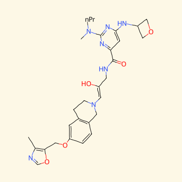 CCCN(C)c1nc(NC2COC2)cc(C(=O)NC/C(O)=C/N2CCc3cc(OCc4ocnc4C)ccc3C2)n1